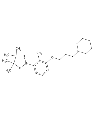 Cc1c(OCCCN2CCCCC2)cccc1B1OC(C)(C)C(C)(C)O1